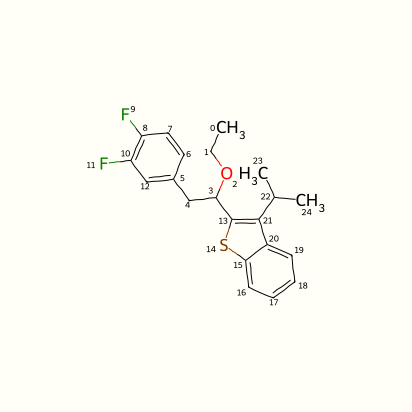 CCOC(Cc1ccc(F)c(F)c1)c1sc2ccccc2c1C(C)C